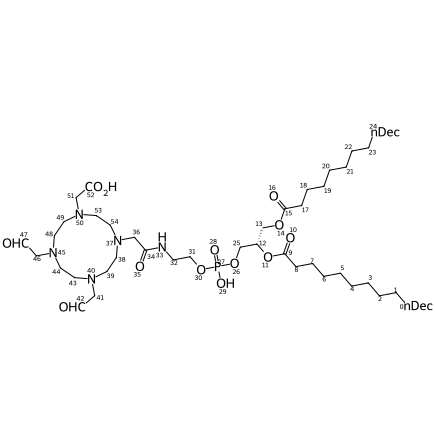 CCCCCCCCCCCCCCCCCCC(=O)O[C@@H](COC(=O)CCCCCCCCCCCCCCCCC)COP(=O)(O)OCCNC(=O)CN1CCN(CC=O)CCN(CC=O)CCN(CC(=O)O)CC1